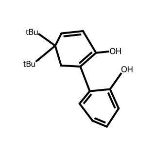 CC(C)(C)C1(C(C)(C)C)C=CC(O)=C(c2ccccc2O)C1